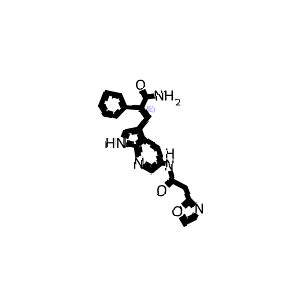 NC(=O)/C(=C/c1c[nH]c2ncc(NC(=O)Cc3ncco3)cc12)c1ccccc1